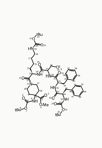 COC(=O)C1(NC(=O)OC(C)(C)C)CCN(C(=O)[C@@H](CCCCNC(=O)OC(C)(C)C)NC(=O)C(CC(F)(F)F)NC(=O)[C@@H](Cc2ccccc2)NC(=O)[C@@H](Cc2ccccc2)NC(=O)OC(C)(C)C)CC1